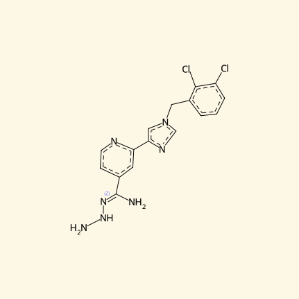 NN/N=C(\N)c1ccnc(-c2cn(Cc3cccc(Cl)c3Cl)cn2)c1